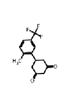 Cc1ccc(C(F)(F)F)cc1C1CC(=O)CC(=O)C1